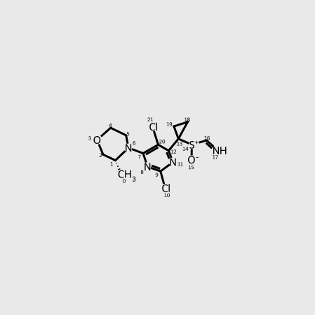 C[C@@H]1COCCN1c1nc(Cl)nc(C2([S+]([O-])C=N)CC2)c1Cl